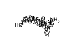 Nc1nc(/C(=N/OC2CCCC2)C(=O)N[C@@H]2C(=O)N3C(C(=O)[O-])=C(C=C4CCN(Cc5cc[n+](CCO)cc5)C4=O)CS[C@H]23)cs1